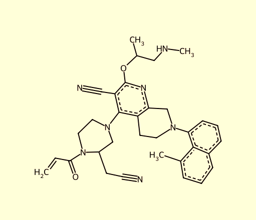 C=CC(=O)N1CCN(c2c(C#N)c(OC(C)CNC)nc3c2CCN(c2cccc4cccc(C)c24)C3)CC1CC#N